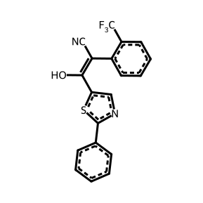 N#CC(=C(O)c1cnc(-c2ccccc2)s1)c1ccccc1C(F)(F)F